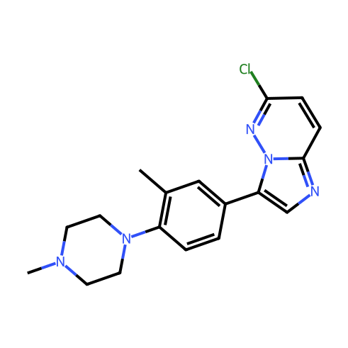 Cc1cc(-c2cnc3ccc(Cl)nn23)ccc1N1CCN(C)CC1